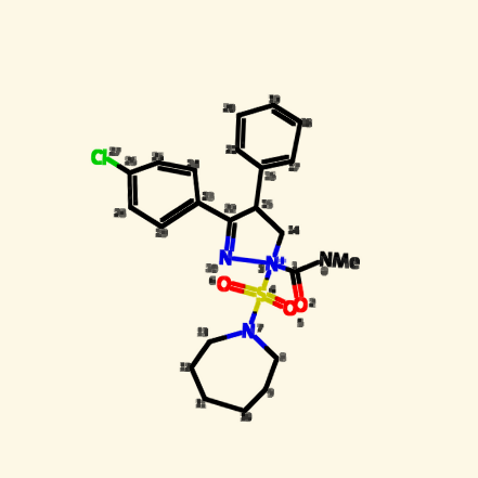 CNC(=O)[N+]1(S(=O)(=O)N2CCCCCC2)CC(c2ccccc2)C(c2ccc(Cl)cc2)=N1